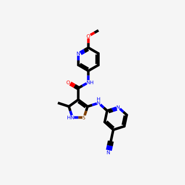 COc1ccc(NC(=O)C2=C(Nc3cc(C#N)ccn3)SNC2C)cn1